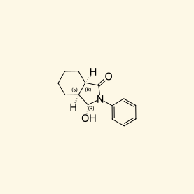 O=C1[C@@H]2CCCC[C@@H]2[C@@H](O)N1c1ccccc1